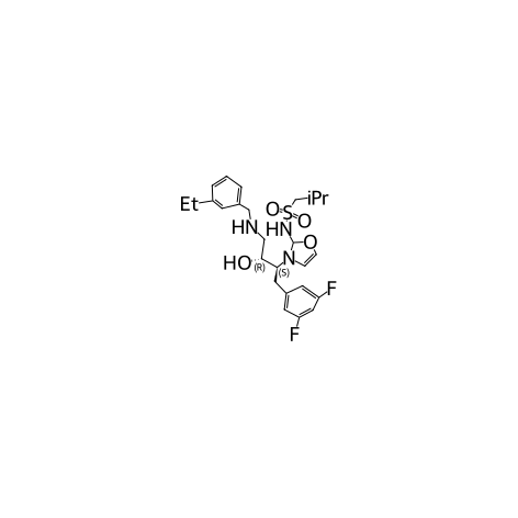 CCc1cccc(CNC[C@@H](O)[C@H](Cc2cc(F)cc(F)c2)N2C=COC2NS(=O)(=O)CC(C)C)c1